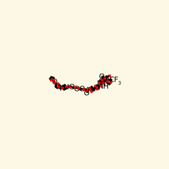 C=CCn1c(=O)c2cnc(Nc3ccc(N4CCN(C(=O)CCOCCOCCOCCN5CCN(Cc6ccc(COC7CCCC7)cc6)CC5)CC4)cc3)nc2n1-c1cccc(C(F)(F)F)n1